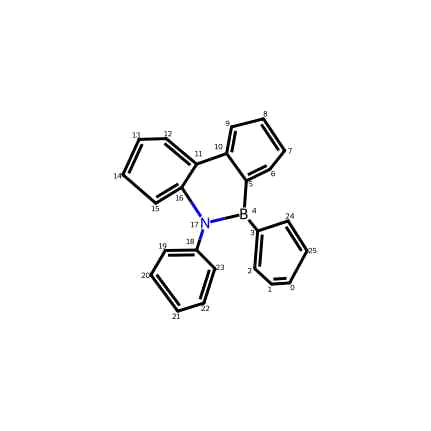 c1ccc(B2c3ccccc3-c3ccccc3N2c2ccccc2)cc1